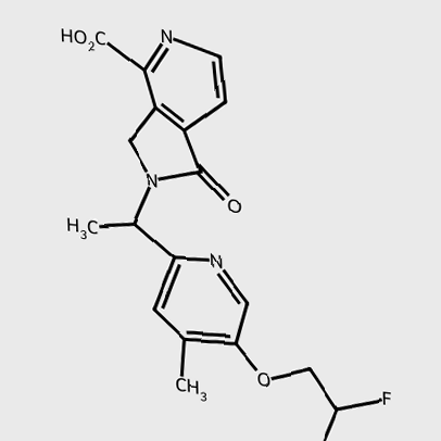 Cc1cc(C(C)N2Cc3c(ccnc3C(=O)O)C2=O)ncc1OCC(F)F